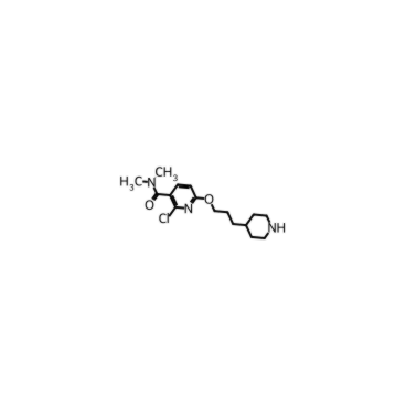 CN(C)C(=O)c1ccc(OCCCC2CCNCC2)nc1Cl